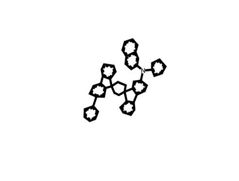 c1ccc(-c2ccc3c(c2)C2(CCC4(CC2)c2ccccc2-c2ccc(N(c5ccccc5)c5ccc6ccccc6c5)cc24)c2ccccc2-3)cc1